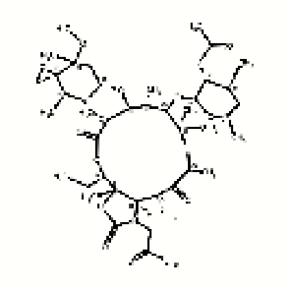 CC[C@H]1OC(=O)[C@H](C)[C@@H](O[C@H]2C[C@@](C)(OC)[C@@]3(CO3)[C@H](C)O2)[C@H](C)[C@@H](O[C@@H]2O[C@H](C)C[C@H](N)[C@H]2OC(C)=O)[C@@](C)(OC)C[C@@H](C)C(=O)[C@H](C)[C@H]2N(CC(C)=O)C(=O)O[C@]12C